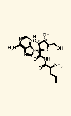 CCCC(N)C(=O)NC(=O)[C@@]1(n2cnc3c(N)ncnc32)O[C@H](CO)[C@@H](O)[C@H]1O